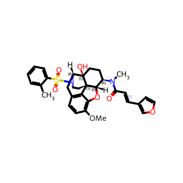 COc1ccc2c3c1O[C@H]1[C@H](N(C)C(=O)/C=C/c4ccoc4)CC[C@@]4(O)[C@@H](C2)N(S(=O)(=O)c2ccccc2C)CC[C@]314